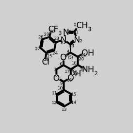 Cc1nc([C@@H]2OC3COC(c4ccccc4)O[C@@H]3C(N)C2O)n(-c2cc(Cl)ccc2C(F)(F)F)n1